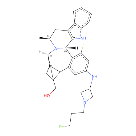 C[C@H]1Cc2c([nH]c3ccccc23)[C@@H]2c3c(F)cc(NC4CN(CCCF)C4)cc3C3C4CC3(CO)C[C@H]4N21